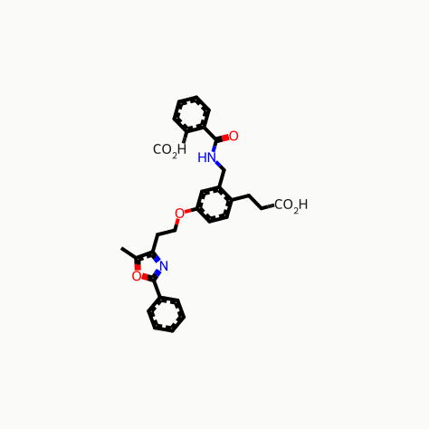 Cc1oc(-c2ccccc2)nc1CCOc1ccc(CCC(=O)O)c(CNC(=O)c2ccccc2C(=O)O)c1